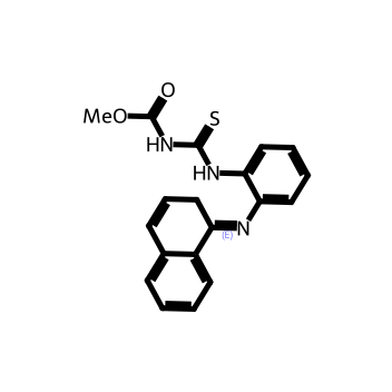 COC(=O)NC(=S)Nc1ccccc1/N=C1\CC=Cc2ccccc21